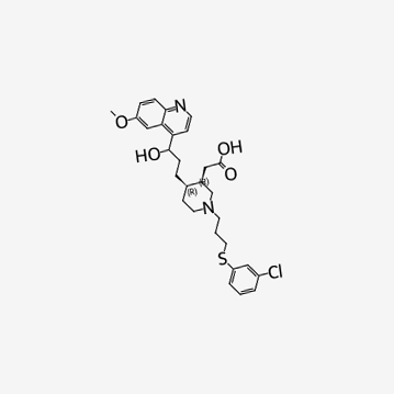 COc1ccc2nccc(C(O)CC[C@@H]3CCN(CCCSc4cccc(Cl)c4)C[C@@H]3CC(=O)O)c2c1